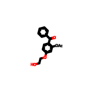 CC(=O)Oc1cc(OCCO)ccc1C(=O)c1ccccc1